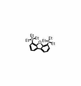 CCS(CC)(CC)c1cccc2c1oc1c(S(CC)(CC)CC)cccc12